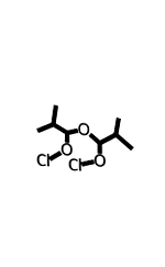 CC(C)C(OCl)OC(OCl)C(C)C